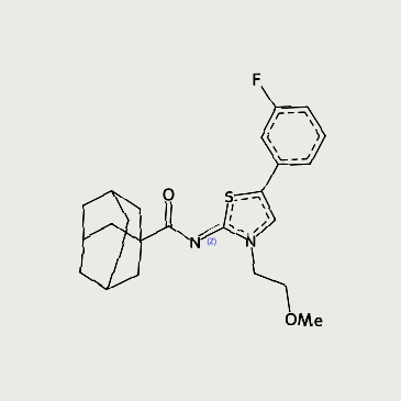 COCCn1cc(-c2cccc(F)c2)s/c1=N\C(=O)C12CC3CC(CC(C3)C1)C2